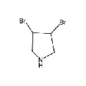 BrC1CNCC1Br